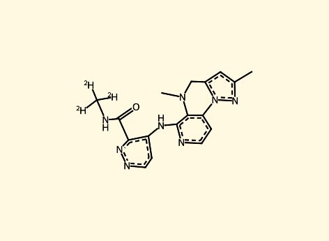 [2H]C([2H])([2H])NC(=O)c1nnccc1Nc1nccc2c1N(C)Cc1cc(C)nn1-2